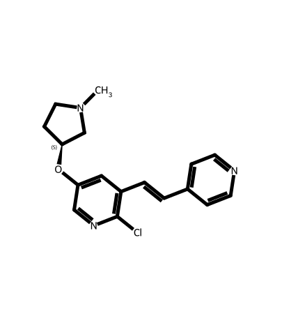 CN1CC[C@H](Oc2cnc(Cl)c(C=Cc3ccncc3)c2)C1